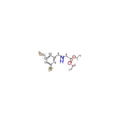 CCOC(CNCc1cc(Br)cc(Br)c1)OCC